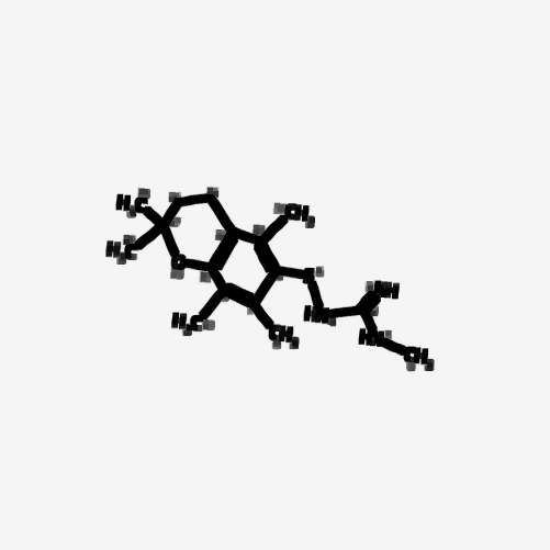 CNC(=N)NSc1c(C)c(C)c2c(c1C)CCC(C)(C)O2